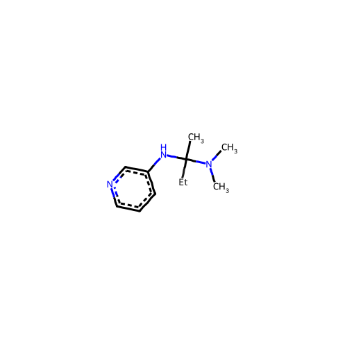 CCC(C)(Nc1cccnc1)N(C)C